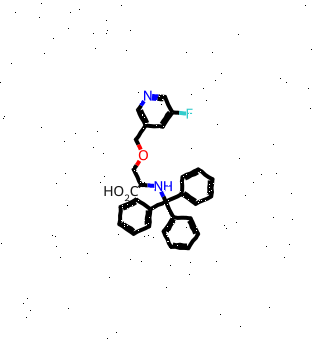 O=C(O)[C@H](COCc1cncc(F)c1)NC(c1ccccc1)(c1ccccc1)c1ccccc1